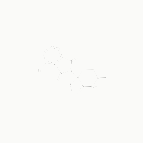 CCC1(N2C(=O)c3cccc(N)c3C2=O)CCC(=O)NC1=O